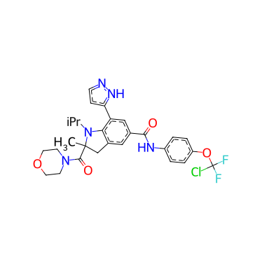 CC(C)N1c2c(cc(C(=O)Nc3ccc(OC(F)(F)Cl)cc3)cc2-c2ccn[nH]2)CC1(C)C(=O)N1CCOCC1